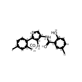 Cc1ccc(-c2scc(NC(=O)c3cc(C)ccc3O)c2C(=O)O)c(F)c1